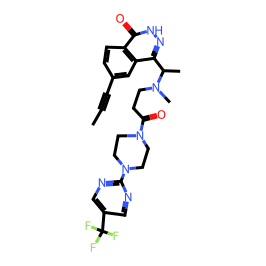 CC#Cc1ccc2c(=O)[nH]nc(C(C)N(C)CCC(=O)N3CCN(c4ncc(C(F)(F)F)cn4)CC3)c2c1